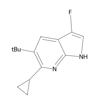 CC(C)(C)c1cc2c(F)c[nH]c2nc1C1CC1